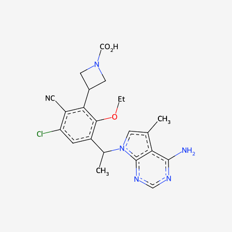 CCOc1c(C(C)n2cc(C)c3c(N)ncnc32)cc(Cl)c(C#N)c1C1CN(C(=O)O)C1